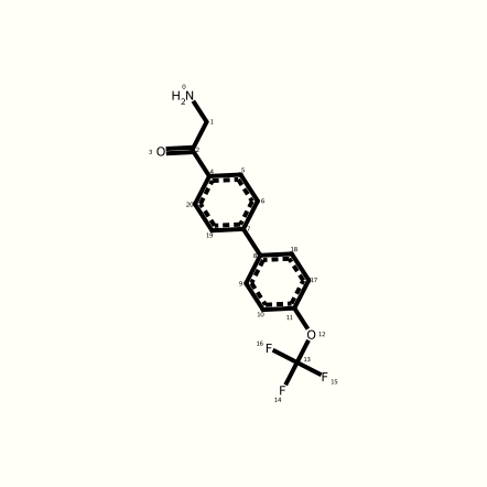 NCC(=O)c1ccc(-c2ccc(OC(F)(F)F)cc2)cc1